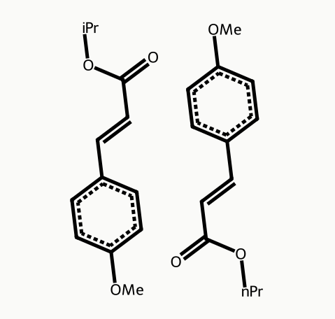 CCCOC(=O)C=Cc1ccc(OC)cc1.COc1ccc(C=CC(=O)OC(C)C)cc1